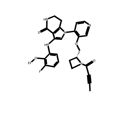 CC#CC(=O)N1CC[C@@H]1COc1cnccc1-n1cc(Nc2cccc(F)c2OCC)c2c1CCNC2=O